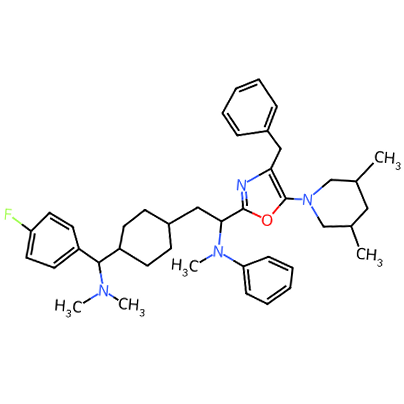 CC1CC(C)CN(c2oc(C(CC3CCC(C(c4ccc(F)cc4)N(C)C)CC3)N(C)c3ccccc3)nc2Cc2ccccc2)C1